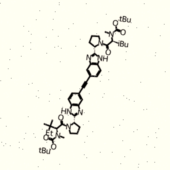 CCC(C)[C@@H](C(=O)N1CCC[C@H]1c1nc2cc(C#Cc3ccc4[nH]c([C@@H]5CCCN5C(=O)[C@@H](N(C)C(=O)OC(C)(C)C)C(C)(C)CC)nc4c3)ccc2[nH]1)N(C)C(=O)OC(C)(C)C